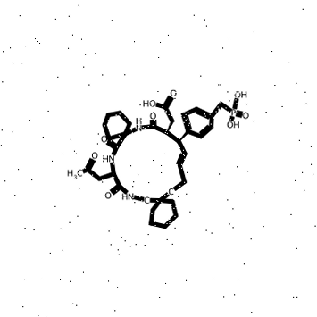 CC(=O)CC1NC(=O)C2(CCCCC2)NC(=O)[C@@H](CC(=O)O)[C@@H](c2ccc(CP(=O)(O)O)cc2)/C=C/CCC2(CCCCC2)CNC1=O